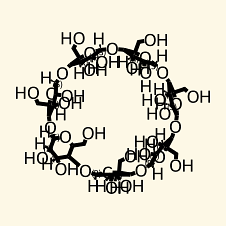 OCC1C[C@H]2OC3C(CO)O[C@@H](OC4C(CO)O[C@@H](OC5C(CO)O[C@@H](OC6C(CO)O[C@@H](OC7C(CO)OC(OC8C(CO)O[C@@H](OC1[C@H](O)[C@@H]2O)[C@@H](O)[C@H]8O)[C@@H](O)[C@H]7O)[C@@H](O)[C@H]6O)[C@@H](O)[C@H]5O)C(O)[C@H]4O)[C@@H](O)[C@H]3O